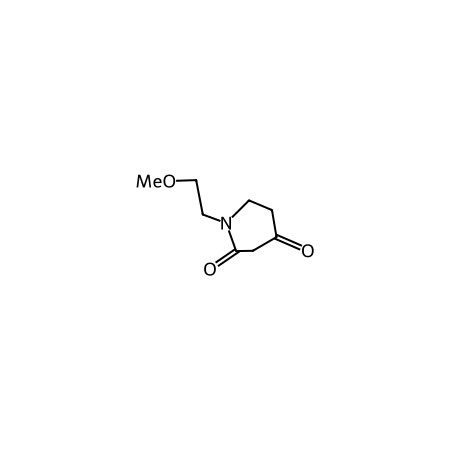 COCCN1CCC(=O)CC1=O